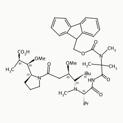 CC[C@H](C)[C@@H]([C@@H](CC(=O)N1CCC[C@H]1[C@H](OC)[C@@H](C)C(=O)O)OC)N(C)[C@H](C(=O)NC(=O)C(C)(C)N(C)C(=O)OCC1c2ccccc2-c2ccccc21)C(C)C